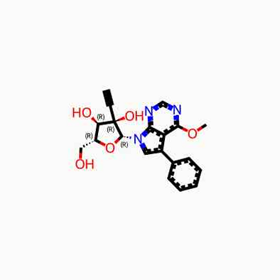 C#C[C@@]1(O)[C@H](O)[C@@H](CO)O[C@H]1n1cc(-c2ccccc2)c2c(OC)ncnc21